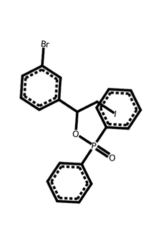 O=P(OC(CI)c1cccc(Br)c1)(c1ccccc1)c1ccccc1